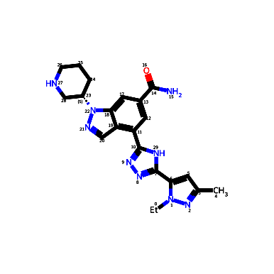 CCn1nc(C)cc1-c1nnc(-c2cc(C(N)=O)cc3c2cnn3[C@H]2CCCNC2)[nH]1